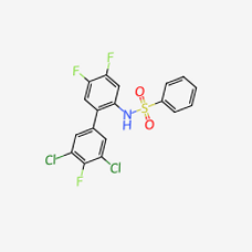 O=S(=O)(Nc1cc(F)c(F)cc1-c1cc(Cl)c(F)c(Cl)c1)c1ccccc1